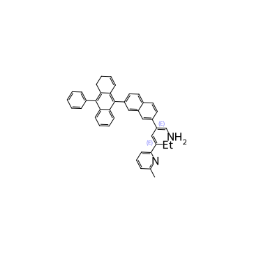 CC/C(=C\C(=C/N)c1ccc2ccc(-c3c4c(c(-c5ccccc5)c5ccccc35)CCC=C4)cc2c1)c1cccc(C)n1